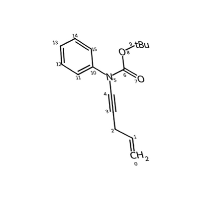 C=CCC#CN(C(=O)OC(C)(C)C)c1ccccc1